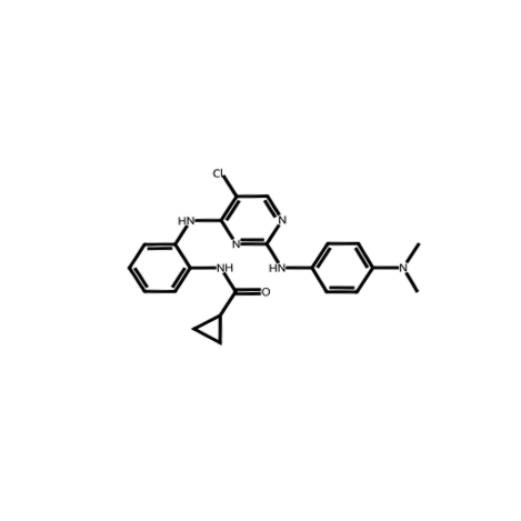 CN(C)c1ccc(Nc2ncc(Cl)c(Nc3ccccc3NC(=O)C3CC3)n2)cc1